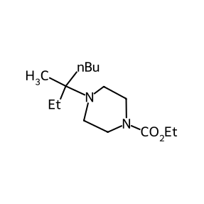 CCCCC(C)(CC)N1CCN(C(=O)OCC)CC1